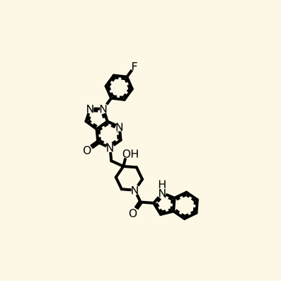 O=C(c1cc2ccccc2[nH]1)N1CCC(O)(Cn2cnc3c(cnn3-c3ccc(F)cc3)c2=O)CC1